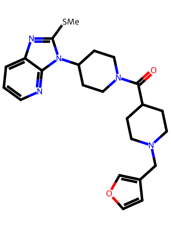 CSc1nc2cccnc2n1C1CCN(C(=O)C2CCN(Cc3ccoc3)CC2)CC1